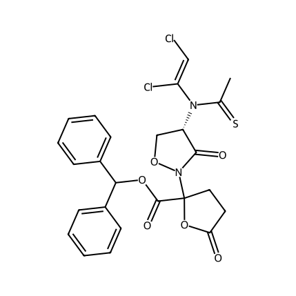 CC(=S)N(C(Cl)=CCl)[C@H]1CON(C2(C(=O)OC(c3ccccc3)c3ccccc3)CCC(=O)O2)C1=O